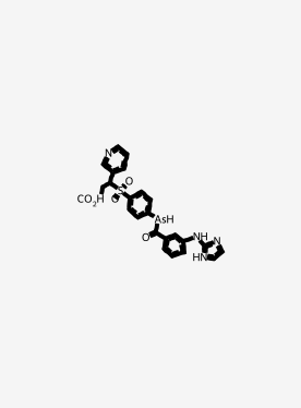 O=C(O)CC(c1cccnc1)S(=O)(=O)c1ccc([AsH]C(=O)c2cccc(Nc3ncc[nH]3)c2)cc1